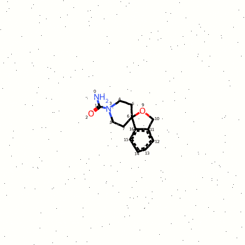 NC(=O)N1CCC2(CC1)OCc1ccccc12